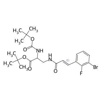 CC(C)(C)OC(=O)NC(CNC(=O)/C=C/c1cccc(Br)c1F)C(=O)OC(C)(C)C